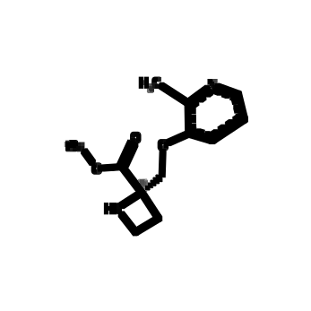 Cc1ncccc1OC[C@]1(C(=O)OC(C)(C)C)CCN1